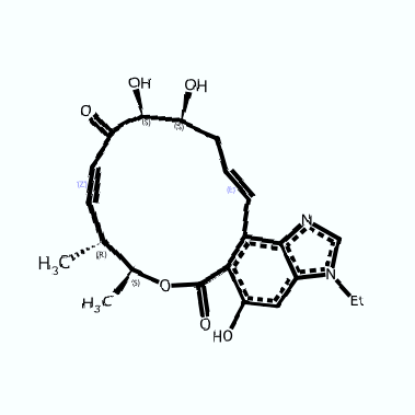 CCn1cnc2c3c(c(O)cc21)C(=O)O[C@@H](C)[C@H](C)/C=C\C(=O)[C@@H](O)[C@@H](O)C/C=C/3